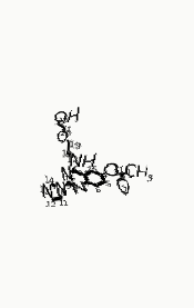 CC(=O)Oc1ccc2nc(-n3ccnc3)nc(NCCOCCO)c2c1